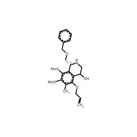 C=CCOc1c(C)c(OC)c(OC)c2c1C(O)CN[C@H]2COCc1ccccc1